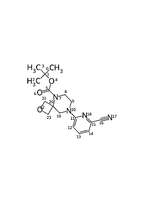 CC(C)(C)OC(=O)N1CCN(c2cccc(C#N)n2)CC12COC2